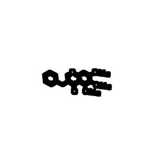 COc1cc2occ(Cc3ccccc3)c(=O)c2c(OC)c1OC